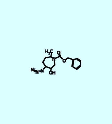 CC1CCC(N=[N+]=[N-])C(O)CN1C(=O)OCc1ccccc1